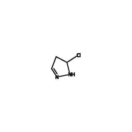 ClC1CC=NN1